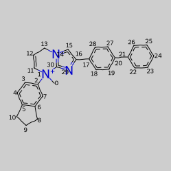 C[N+]1(c2ccc3c(c2)CCC3)C=CCn2cc(-c3ccc(-c4ccccc4)cc3)nc21